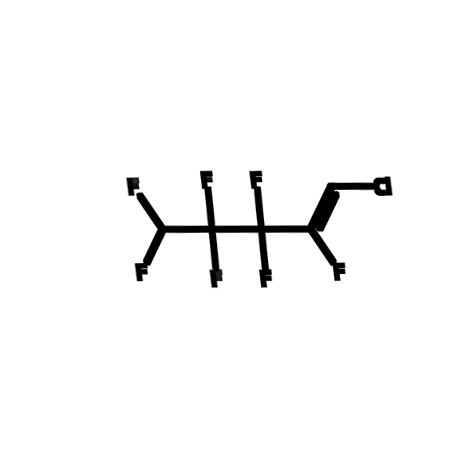 FC(=CCl)C(F)(F)C(F)(F)C(F)F